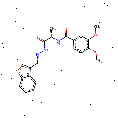 COc1ccc(C(=O)N[C@H](C)C(=O)N/N=C/c2csc3ccccc23)cc1OC